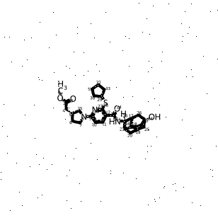 COC(=O)C[C@@H]1CCN(c2ccc(C(=O)N[C@H]3C4CC5CC3C[C@](O)(C5)C4)c(SC3CCCC3)n2)C1